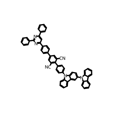 N#Cc1cc(-c2ccc(-c3cc(-c4ccccc4)nc(-c4ccccc4)n3)cc2)cc(C#N)c1-c1ccc(-n2c3ccccc3c3cc(-n4c5ccccc5c5ccccc54)ccc32)cc1